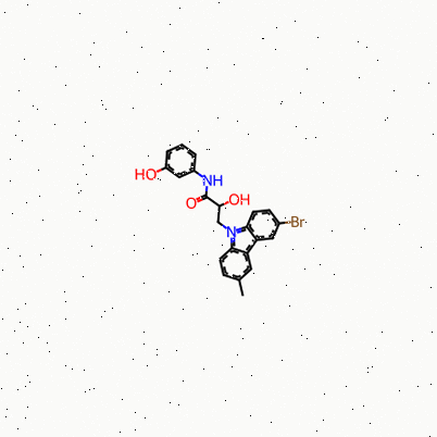 Cc1ccc2c(c1)c1cc(Br)ccc1n2CC(O)C(=O)Nc1cccc(O)c1